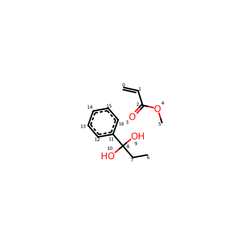 C=CC(=O)OC.CCC(O)(O)c1ccccc1